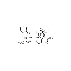 CCC(=O)Nc1cccc(Cc2ccc(C(F)(F)F)nc2OC2CCCCC2)c1N(F)S(C)(=O)=O